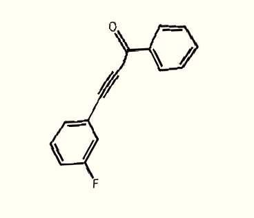 O=C(C#Cc1cccc(F)c1)c1ccccc1